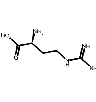 N=C(N)NCC[C@H](N)C(=O)O